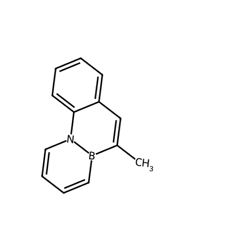 CC1=Cc2ccccc2N2C=CC=CB12